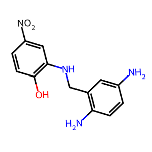 Nc1ccc(N)c(CNc2cc([N+](=O)[O-])ccc2O)c1